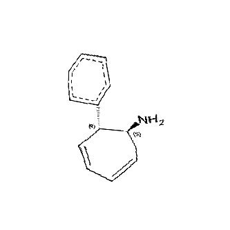 N[C@H]1C=CC=C[C@@H]1c1ccccc1